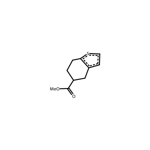 COC(=O)C1CCc2sccc2C1